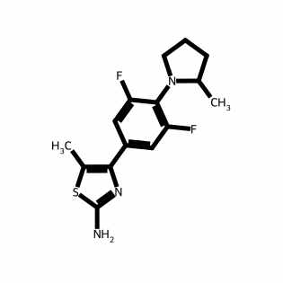 Cc1sc(N)nc1-c1cc(F)c(N2CCCC2C)c(F)c1